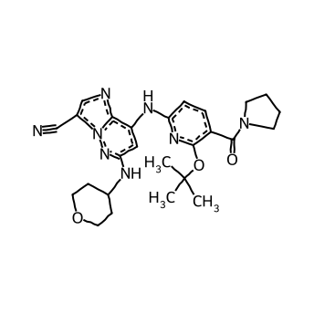 CC(C)(C)Oc1nc(Nc2cc(NC3CCOCC3)nn3c(C#N)cnc23)ccc1C(=O)N1CCCC1